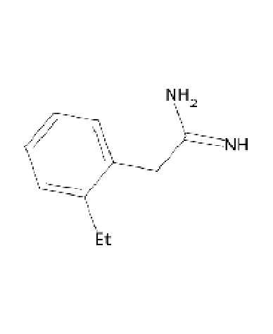 CCc1ccccc1CC(=N)N